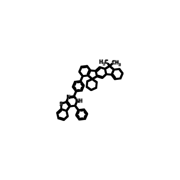 CC1(C)C2CCCC=C2C2C=C3C(=CC21)C1=C(C(c2ccc(C4=NC5=C(C6CC=CC=C6S5)C(c5ccccc5)N4)cc2)CC=C1)C31CCCCC1